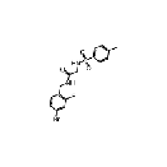 Cc1ccc(S(=O)(=O)NCC(=O)NCc2ccc(Br)cc2F)cc1